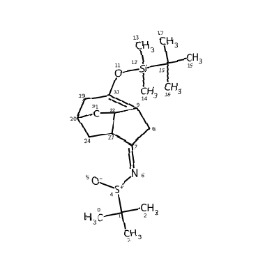 CC(C)(C)[S+]([O-])/N=C1/CC2=C(O[Si](C)(C)C(C)(C)C)CC3CC2C1C3